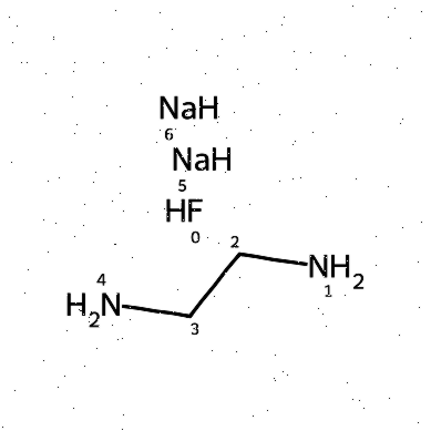 F.NCCN.[NaH].[NaH]